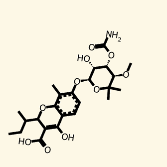 CCC(C)C1Oc2c(ccc(O[C@@H]3OC(C)(C)[C@H](OC)[C@@H](OC(N)=O)[C@H]3O)c2C)C(O)=C1C(=O)O